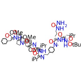 CC[C@H](C)[C@@H]([C@@H](CC(=O)N1CCC[C@H]1[C@H](OC)[C@@H](C)C(=O)N[C@@H](Cc1ccccc1)C(=O)OC)OC)N(C)C(=O)[C@@H](NC(=O)[C@H](C(C)C)N(C)CCc1ccc(N(C)C(=O)[C@H](CCCNC(N)=O)NC(=O)[C@H](CC(C)C)NC(=O)OC(C)(C)C)cc1)C(C)C